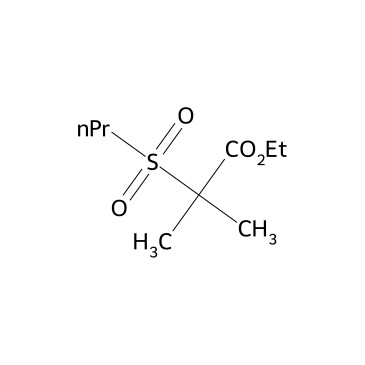 CCCS(=O)(=O)C(C)(C)C(=O)OCC